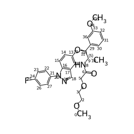 COCCOCC(=O)N[C@@H](C)[C@@H](Oc1ccc2c(cnn2-c2ccc(F)cc2)c1)c1cccc(OC)c1